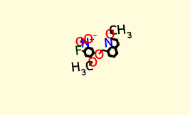 COc1ccc2cccc(COc3cc([N+](=O)[O-])c(F)cc3OC)c2n1